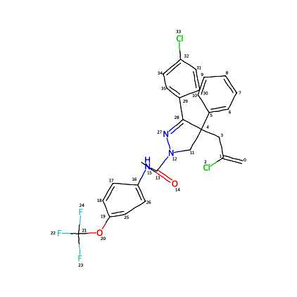 C=C(Cl)CC1(c2ccccc2)CN(C(=O)Nc2ccc(OC(F)(F)F)cc2)N=C1c1ccc(Cl)cc1